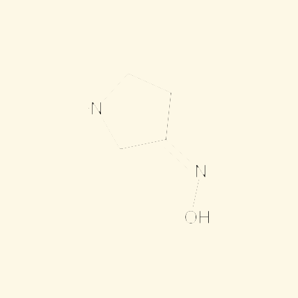 ON=C1CC[N]C1